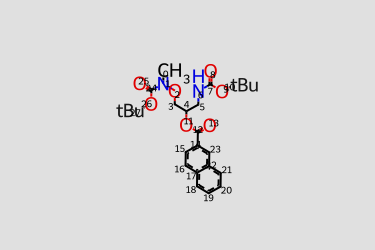 CN(OCC(CNC(=O)OC(C)(C)C)OC(=O)c1ccc2ccccc2c1)C(=O)OC(C)(C)C